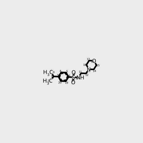 CC(C)c1ccc(S(=O)(=O)NCCN2CCOCC2)cc1